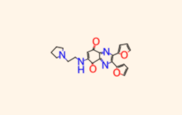 O=C1C=C(NCCN2CCCC2)C(=O)c2nc(-c3ccco3)c(-c3ccco3)nc21